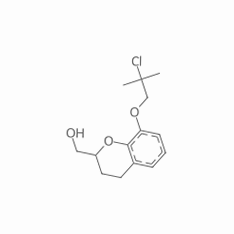 CC(C)(Cl)COc1cccc2c1OC(CO)CC2